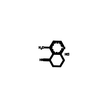 Cc1ccnc2c1C(=N)CCC2.Cl